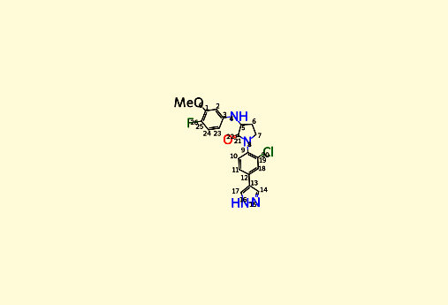 COc1cc(NC2CCN(c3ccc(-c4cn[nH]c4)cc3Cl)C2=O)ccc1F